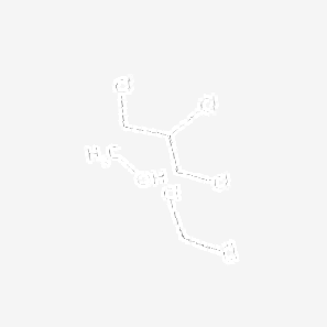 CO.ClCC(Cl)CCl.ClCCl